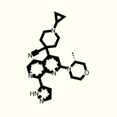 C[C@@H]1COCCN1c1cc(C2(C#N)CCN(C3CC3)CC2)c2ccnc(-c3ccn[nH]3)c2n1